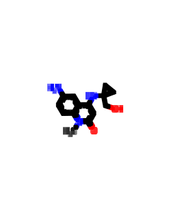 Cn1c(=O)cc(NC2(CO)CC2)c2cc(N)ccc21